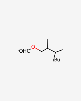 CCC(C)C(C)C(C)CO[C]=O